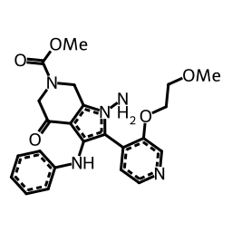 COCCOc1cnccc1-c1c(Nc2ccccc2)c2c(n1N)CN(C(=O)OC)CC2=O